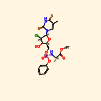 Cc1cn([C@H]2O[C@@H](CO[P@@](=O)(N[C@@H](C)C(=O)OC(C)C)Oc3ccccc3)C(O)[C@H]2Cl)c(=S)[nH]c1=S